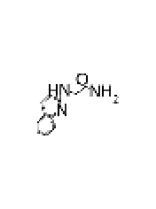 NC(=O)CNc1ccc2ccccc2n1